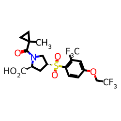 CC1(C(=O)N2C[C@H](S(=O)(=O)c3ccc(OCC(F)(F)F)cc3C(F)(F)F)C[C@H]2C(=O)O)CC1